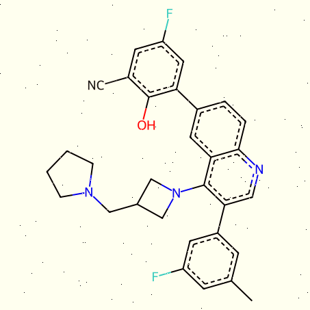 Cc1cc(F)cc(-c2cnc3ccc(-c4cc(F)cc(C#N)c4O)cc3c2N2CC(CN3CCCC3)C2)c1